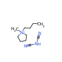 CCCC[N+]1(C)CCCC1.N#CNC#N